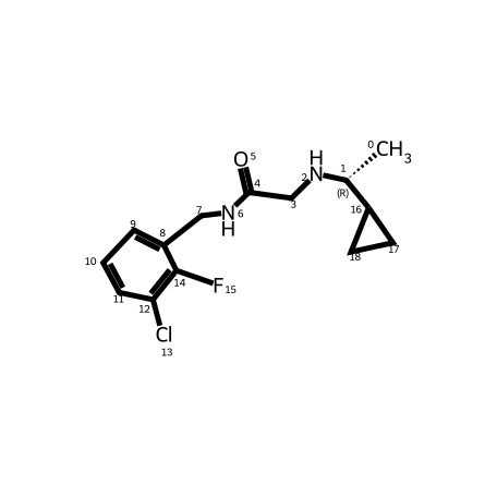 C[C@@H](NCC(=O)NCc1cccc(Cl)c1F)C1CC1